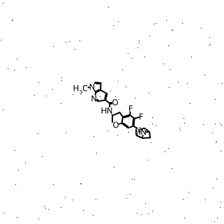 Cn1ccc2cc(C(=O)N[C@H]3COc4cc(N5CC6CC(C5)N6)c(F)c(F)c4C3)cnc21